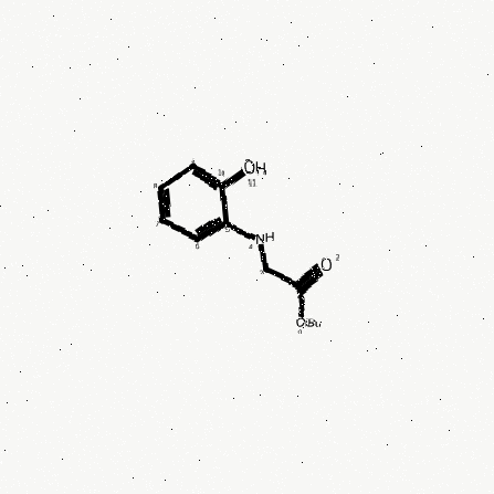 CC(C)COC(=O)CNc1ccccc1O